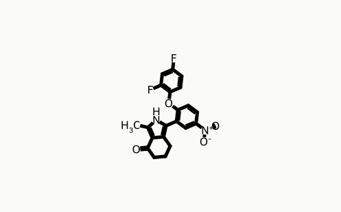 Cc1[nH]c(-c2cc([N+](=O)[O-])ccc2Oc2ccc(F)cc2F)c2c1C(=O)CCC2